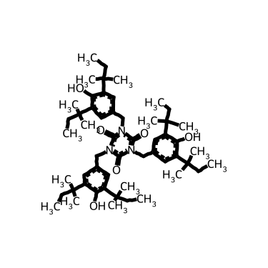 CCC(C)(C)c1cc(Cn2c(=O)n(Cc3cc(C(C)(C)CC)c(O)c(C(C)(C)CC)c3)c(=O)n(Cc3cc(C(C)(C)CC)c(O)c(C(C)(C)CC)c3)c2=O)cc(C(C)(C)CC)c1O